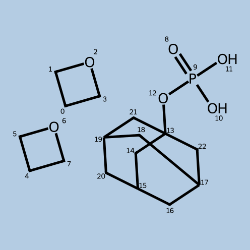 C1COC1.C1COC1.O=P(O)(O)OC12CC3CC(CC(C3)C1)C2